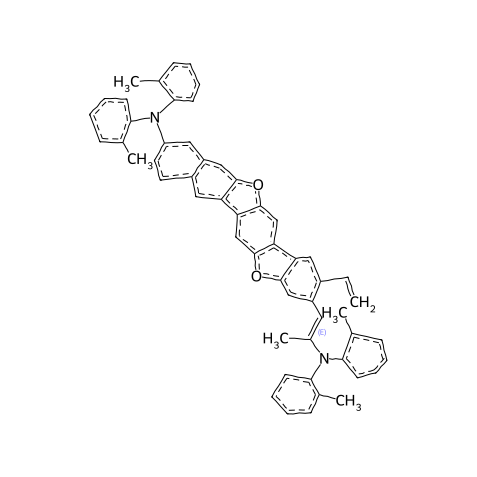 C=Cc1cc2c(cc1/C=C(\C)N(c1ccccc1C)c1ccccc1C)oc1cc3c(cc12)oc1cc2cc(N(c4ccccc4C)c4ccccc4C)ccc2cc13